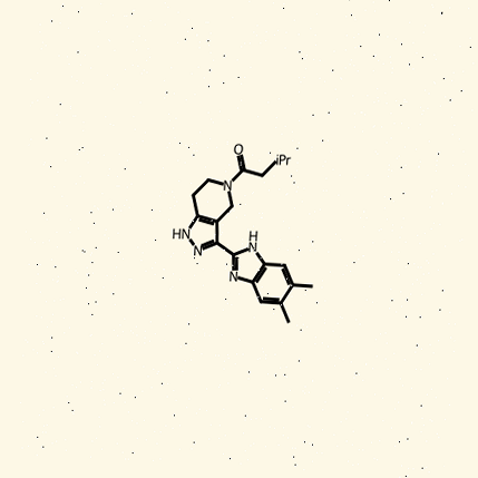 Cc1cc2nc(-c3n[nH]c4c3CN(C(=O)CC(C)C)CC4)[nH]c2cc1C